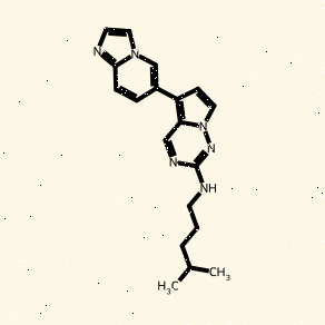 CC(C)CCCNc1ncc2c(-c3ccc4nccn4c3)ccn2n1